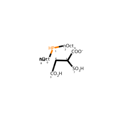 CCCCCCCCPCCCCCCCC.O=C(O)CC(C(=O)[O-])S(=O)(=O)O.[Na+]